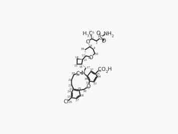 C[C@@H](CS(N)(=O)=O)O[C@@H]1CCO[C@H]([C@@H]2CC[C@H]2CN2CCCCc3cc(Cl)ccc3COc3ccc(C(=O)O)cc32)C1